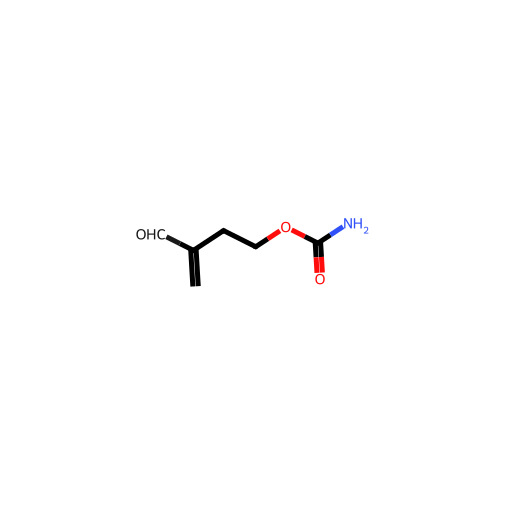 C=C(C=O)CCOC(N)=O